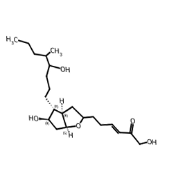 CCCC(C)C(O)CCC[C@@H]1[C@H]2CC(CCC=CC(=O)CO)O[C@H]2C[C@H]1O